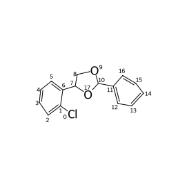 Clc1ccccc1C1COC(c2ccccc2)O1